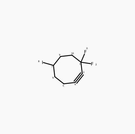 FC1(F)C#CCCC(I)CC1